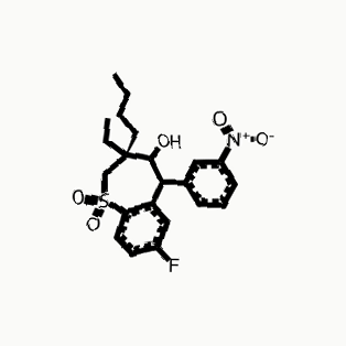 CCCC[C@]1(CC)CS(=O)(=O)c2ccc(F)cc2C(c2cccc([N+](=O)[O-])c2)C1O